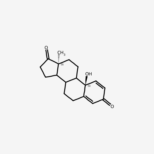 C[C@]12CCC3C(CCC4=CC(=O)C=C[C@]43O)C1CCC2=O